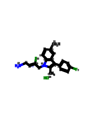 Cc1c(-c2ccc(F)cc2)c2cc(C(=O)O)ccc2n1C/C(F)=C/CN.Cl